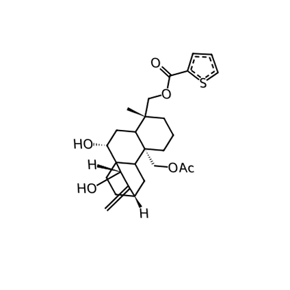 C=C1[C@H]2CCC3(C(C2)[C@]2(COC(C)=O)CCC[C@@](C)(COC(=O)c4cccs4)C2C[C@H]3O)[C@H]1O